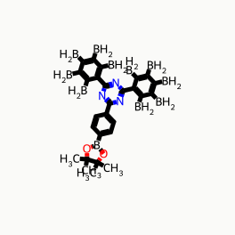 Bc1c(B)c(B)c(-c2nc(-c3ccc(B4OC(C)(C)C(C)(C)O4)cc3)nc(-c3c(B)c(B)c(B)c(B)c3B)n2)c(B)c1B